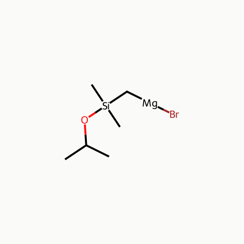 CC(C)O[Si](C)(C)[CH2][Mg][Br]